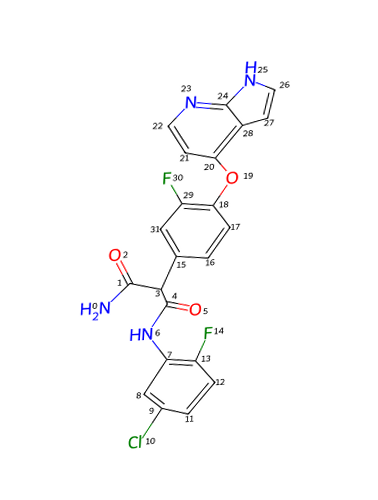 NC(=O)C(C(=O)Nc1cc(Cl)ccc1F)c1ccc(Oc2ccnc3[nH]ccc23)c(F)c1